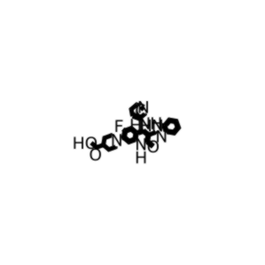 O=C(O)C1CCN(c2cc3[nH]c(=O)c(-c4nc5ccccc5[nH]4)c(N[C@H]4CN5CCC4CC5)c3cc2F)CC1